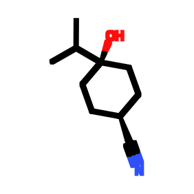 CC(C)[C@]1(O)CC[C@@H](C#N)CC1